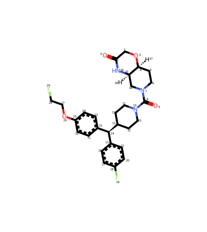 O=C1CO[C@H]2CCN(C(=O)N3CCC([C@@H](c4ccc(F)cc4)c4ccc(OCCF)cc4)CC3)C[C@H]2N1